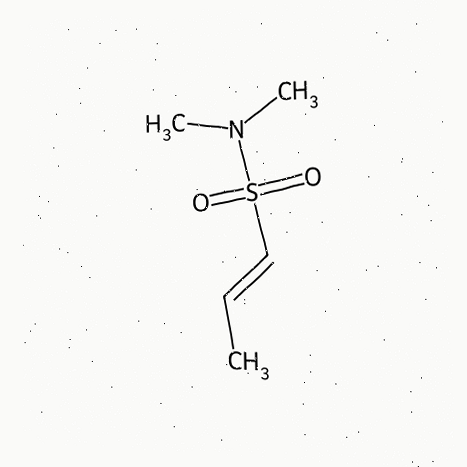 CC=CS(=O)(=O)N(C)C